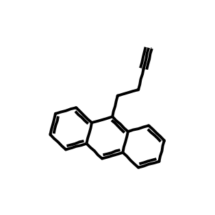 [C]#CCCc1c2ccccc2cc2ccccc12